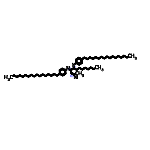 C\C=C/C(=N\c1ccc(CCCCCCCCCCCCCCCCC)cc1)C(/CCCCCCCC)=N/c1ccc(CCCCCCCCCCCCCCCCC)cc1.[Ni]